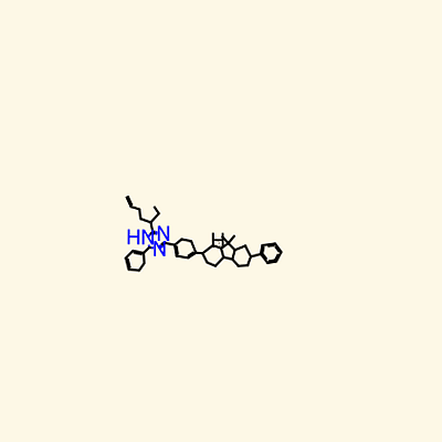 C=CCCC(CC)C1=NC(C2=CC=C(C3CCC4C5CCC(c6ccccc6)CC5C(C)(C)[C@@H]4C3)CC2)=NC(C2=CC=CCC2)N1